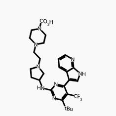 CC(C)(C)c1nc(NC2CCN(CCN3CCN(C(=O)O)CC3)C2)nc(-c2c[nH]c3ncccc23)c1C(F)(F)F